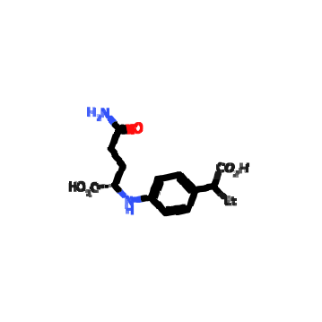 CCC(C(=O)O)c1ccc(N[C@@H](CCC(N)=O)C(=O)O)cc1